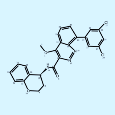 COc1c(C(=O)N[C@H]2CCOc3ccccc32)nnc2c(-c3cc(Cl)cc(Cl)c3)cccc12